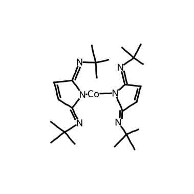 CC(C)(C)N=C1C=CC(=NC(C)(C)C)[N]1[Co][N]1C(=NC(C)(C)C)C=CC1=NC(C)(C)C